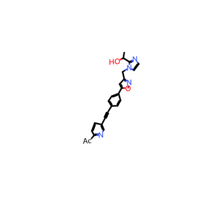 CC(=O)c1ccc(C#Cc2ccc(-c3cc(Cn4ccnc4C(C)O)no3)cc2)cn1